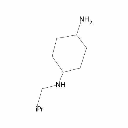 CC(C)CNC1CCC(N)CC1